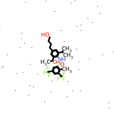 CCc1cc(CCCCO)cc(C(C)C)c1NS(=O)(=O)c1cc(C(F)(F)F)cc(C(F)(F)F)c1C